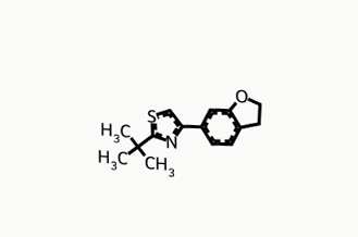 CC(C)(C)c1nc(-c2ccc3c(c2)OCC3)cs1